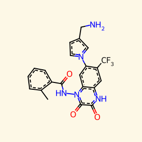 Cc1ccccc1C(=O)Nn1c(=O)c(=O)[nH]c2cc(C(F)(F)F)c(-n3ccc(CN)c3)cc21